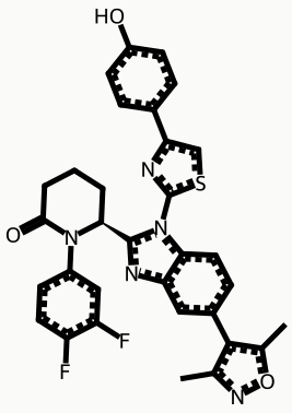 Cc1noc(C)c1-c1ccc2c(c1)nc([C@@H]1CCCC(=O)N1c1ccc(F)c(F)c1)n2-c1nc(-c2ccc(O)cc2)cs1